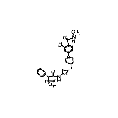 CNC(=O)c1ccc(N2CCC(CC3CC(NC(=O)C(c4ccccc4)C(F)(F)OF)C3)CC2)cc1Cl